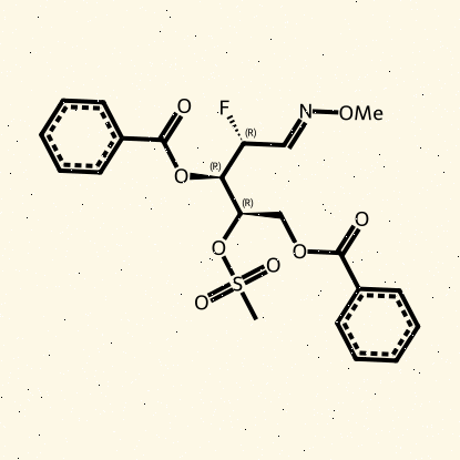 CON=C[C@@H](F)[C@H](OC(=O)c1ccccc1)[C@@H](COC(=O)c1ccccc1)OS(C)(=O)=O